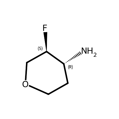 N[C@@H]1CCOC[C@H]1F